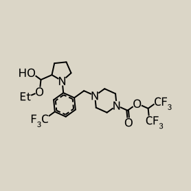 CCOC(O)C1CCCN1c1cc(C(F)(F)F)ccc1CN1CCN(C(=O)OC(C(F)(F)F)C(F)(F)F)CC1